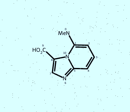 CNc1cccc2ncc(C(=O)O)n12